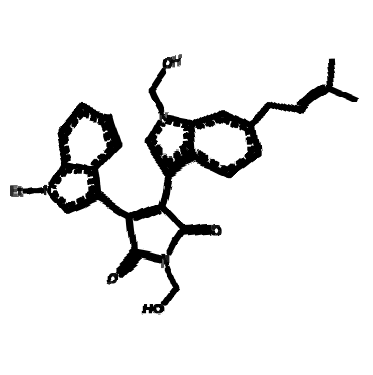 CCn1cc(C2=C(c3cn(CO)c4cc(CC=C(C)C)ccc34)C(=O)N(CO)C2=O)c2ccccc21